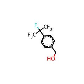 OCc1ccc(C(F)(C(F)(F)F)C(F)(F)F)cc1